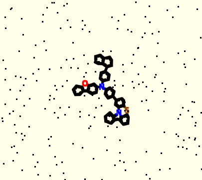 c1ccc2c(-c3ccc(N(c4ccc(-c5ccc6c(c5)-n5c7ccccc7c7cccc(c75)S6)cc4)c4ccc5c(c4)oc4ccccc45)cc3)cccc2c1